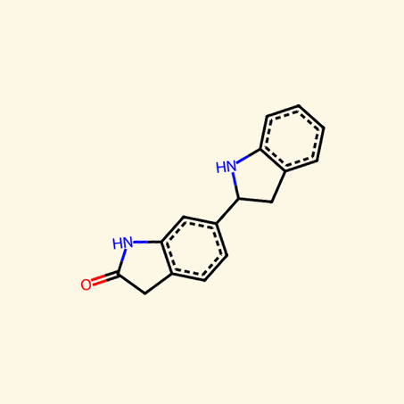 O=C1Cc2ccc(C3Cc4ccccc4N3)cc2N1